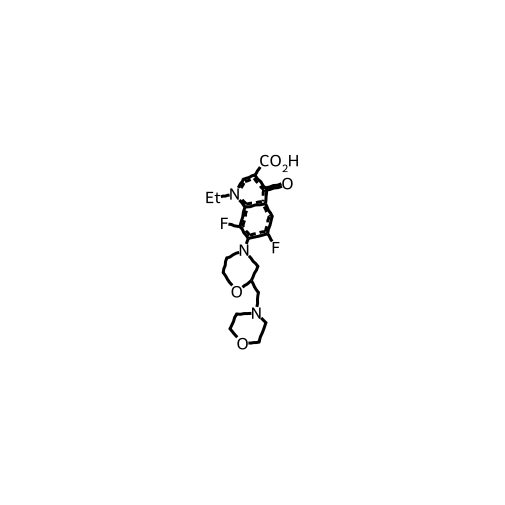 CCn1cc(C(=O)O)c(=O)c2cc(F)c(N3CCOC(CN4CCOCC4)C3)c(F)c21